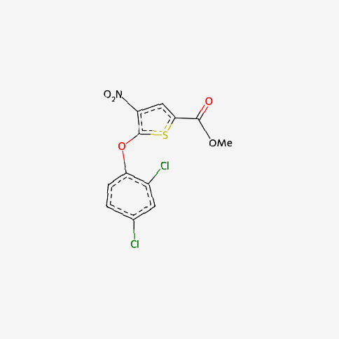 COC(=O)c1cc([N+](=O)[O-])c(Oc2ccc(Cl)cc2Cl)s1